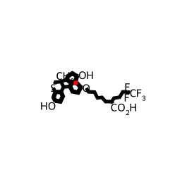 CC1(c2ccc(O)cc2)CSc2cc(O)ccc2C1c1ccc(OCCCCCC(CCCC(F)(F)C(F)(F)F)C(=O)O)cc1